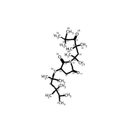 CC(C)C(C)(C)CC(C)(C)SC1CC(=O)N(C(C)(C)CC(C)(C)C(=O)C(C)(C)C)C1=O